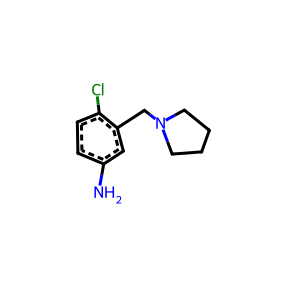 Nc1ccc(Cl)c(CN2CCCC2)c1